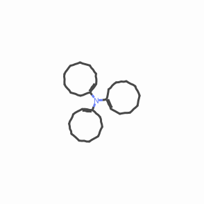 C1=C(N(C2=CCCCCCCCC2)C2=CCCCCCCCC2)CCCCCCCC1